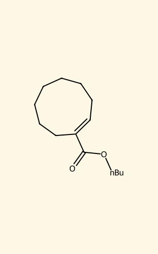 CCCCOC(=O)C1=CCCCCCCC1